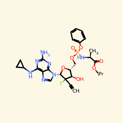 C#C[C@@]1(F)[C@H](O)[C@@H](COP(=O)(N[C@@H](C)C(=O)OC(C)C)Oc2ccccc2)O[C@H]1n1cnc2c(NC3CC3)nc(N)nc21